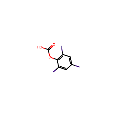 O=C(O)Oc1c(I)cc(I)cc1I